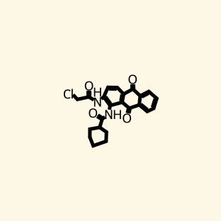 O=C(CCl)Nc1ccc2c(c1NC(=O)C1CCCCC1)C(=O)c1ccccc1C2=O